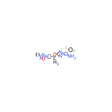 CCc1noc(N2CCC([C@H](C)Oc3cnc(N4C[C@H](c5cc(F)ccc5F)[C@@H](N)C4)nc3)CC2)n1